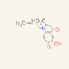 CC#CCCn1c(C(=O)O)cc(=O)c2cc(O)c(=O)ccc21